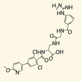 COc1ccc(-c2cc(Cl)c(C(=O)NC(CNC(=O)CNC(=O)c3cccc(NC(=N)N)c3)C(=O)O)c(Cl)c2)cn1